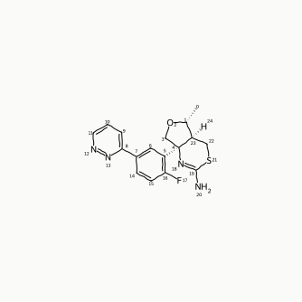 C[C@H]1OC[C@]2(c3cc(-c4cccnn4)ccc3F)N=C(N)SC[C@H]12